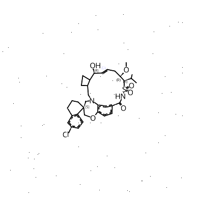 CO[C@@H]1C/C=C/[C@H](O)C2CCC2CN2C[C@@]3(CCCc4cc(Cl)ccc43)COc3ccc(cc32)C(=O)NS(=O)(=O)[C@@H]1C(C)C